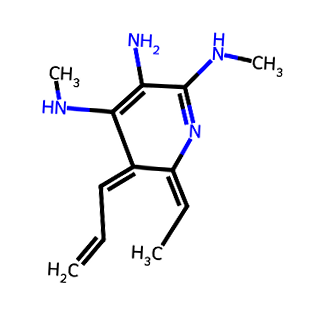 C=C/C=c1/c(NC)c(N)c(NC)n/c1=C/C